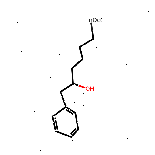 CCCCCCCCCCCCC(O)[CH]c1ccccc1